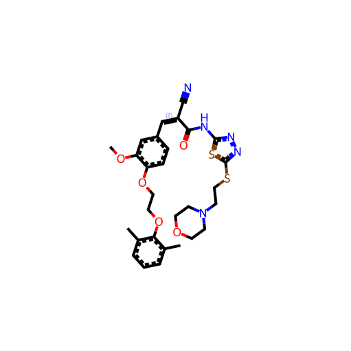 COc1cc(/C=C(/C#N)C(=O)Nc2nnc(SCCN3CCOCC3)s2)ccc1OCCOc1c(C)cccc1C